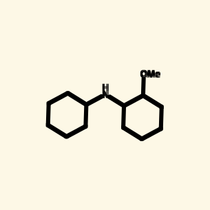 COC1CCCCC1NC1CCCCC1